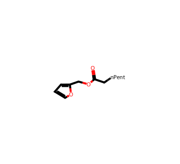 CCCCCCC(=O)OCc1ccco1